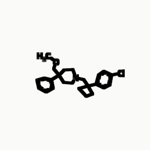 COCC1(c2ccccc2)CCN(CC2(c3ccc(Cl)cc3)CCC2)CC1